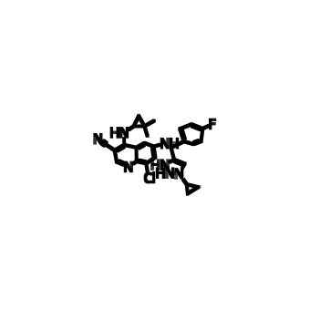 CC1(C)CC1Nc1c(C#N)cnc2c(Cl)cc(NC(C3=CN(C4CC4)NN3)c3ccc(F)cc3)cc12